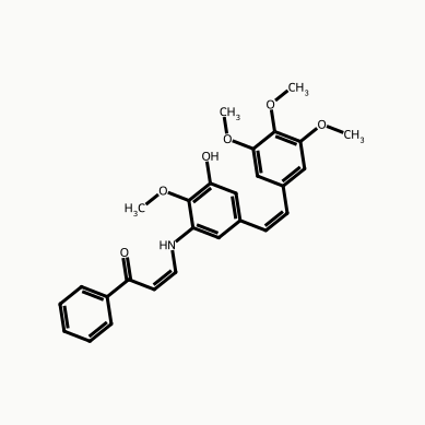 COc1cc(/C=C\c2cc(O)c(OC)c(N/C=C\C(=O)c3ccccc3)c2)cc(OC)c1OC